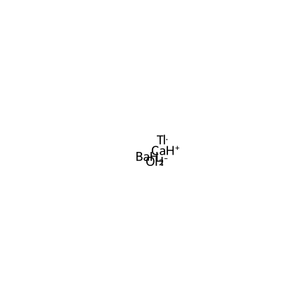 [BaH2].[CaH+].[OH-].[Tl]